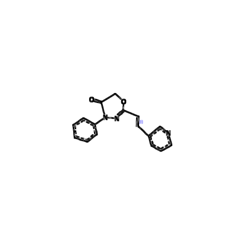 O=C1COC(/C=C/c2cccnc2)=NN1c1ccccc1